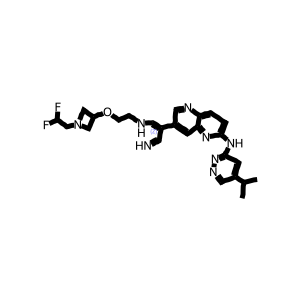 CC(C)c1cnnc(Nc2ccc3ncc(/C(C=N)=C/NCCOC4CN(CC(F)F)C4)cc3n2)c1